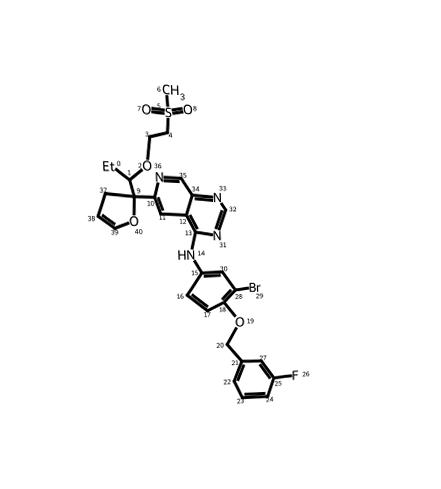 CCC(OCCS(C)(=O)=O)C1(c2cc3c(Nc4ccc(OCc5cccc(F)c5)c(Br)c4)ncnc3cn2)CC=CO1